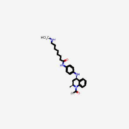 CCC(=O)N1c2ccccc2[C@H](Nc2ccc(NC(=O)CCCCCCCNC(=O)O)cc2)C[C@@H]1C